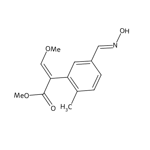 CO/C=C(/C(=O)OC)c1cc(C=NO)ccc1C